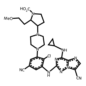 COCCC1C(N2CCN(c3cc(C#N)cc(Nc4nc(NC5CC5)c5ncc(C#N)n5n4)c3Cl)CC2)CCN1C(=O)O